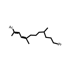 CC(=O)C(C)=CC=C(C)CCCC(C)CCCC(C)C